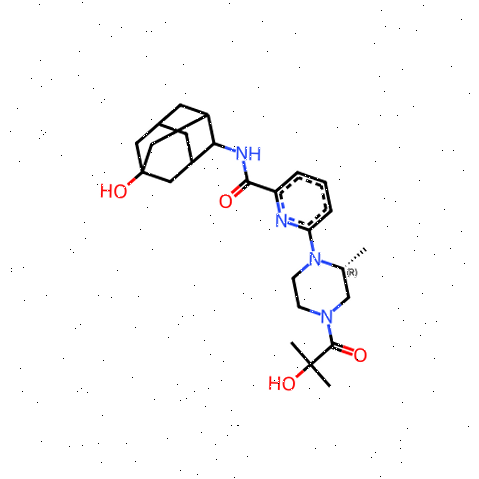 C[C@@H]1CN(C(=O)C(C)(C)O)CCN1c1cccc(C(=O)NC2C3CC4CC2CC(O)(C4)C3)n1